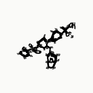 CC(O)(c1ccc(N2CCN(S(=O)(=O)c3cccs3)CC2CN2CC3CCC(C2)O3)cc1)C(F)(F)F